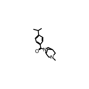 CC(C)c1ccc(C(=O)N2CC3CC2CN(C)C3)cc1